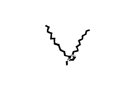 CCCCCCCCCCCc1n(CC)cc[n+]1CCCCCCCCCC